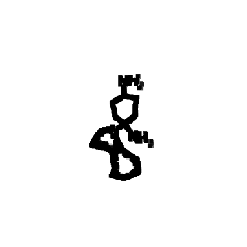 NC1CCC(N)(n2ccc3ccccc32)CC1